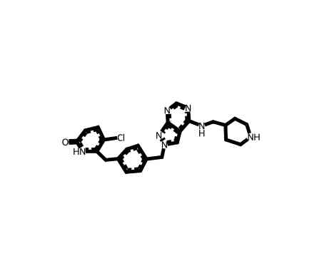 O=c1ccc(Cl)c(Cc2ccc(Cn3cc4c(NCC5CCNCC5)ncnc4n3)cc2)[nH]1